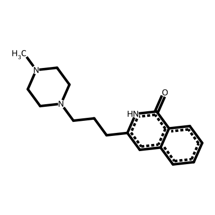 CN1CCN(CCCc2cc3ccccc3c(=O)[nH]2)CC1